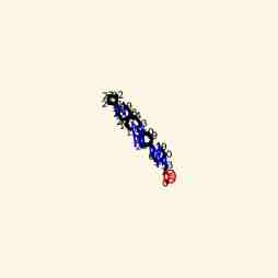 COCCN1CCN(c2ccc(N3CCC4(CC3)CCN(C3CCC3)CC4)nc2)CC1